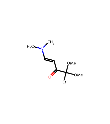 CCC(OC)(OC)C(=O)C=CN(C)C